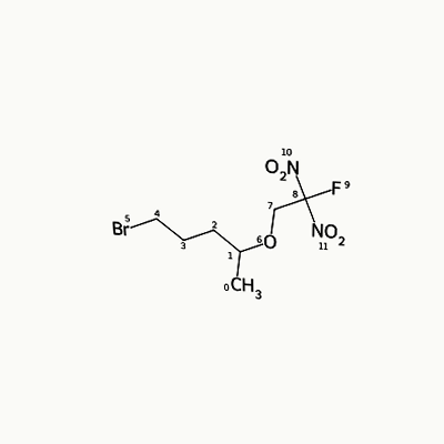 CC(CCCBr)OCC(F)([N+](=O)[O-])[N+](=O)[O-]